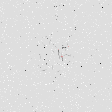 CC1=CN2c3ccccc3C34CCN5CCN1C2/C=C\Cc1ccccc1N1C=C(C)N3C1C41c2ccccc2N2C=C(C)N(CC5)C21